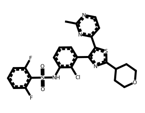 Cc1nccc(-c2sc(C3CCOCC3)nc2-c2cccc(NS(=O)(=O)c3c(F)cccc3F)c2Cl)n1